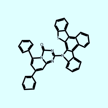 O=c1nc(-n2c3ccccc3c3c4ccccc4c4c5ccccc5sc4c32)nc2cc(-c3ccccc3)cc(-c3ccccc3)n12